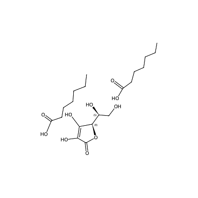 CCCCCCC(=O)O.CCCCCCC(=O)O.O=C1O[C@H]([C@@H](O)CO)C(O)=C1O